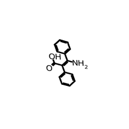 NC(=C(C(=O)O)c1ccccc1)c1ccccc1